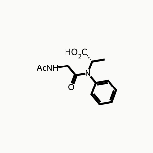 CC(=O)NCC(=O)N(c1ccccc1)[C@@H](C)C(=O)O